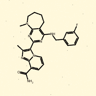 Cc1nc2c(C(N)=O)cccn2c1-c1nc(NCc2cccc(F)c2)c2c(n1)N(C)CCCC2